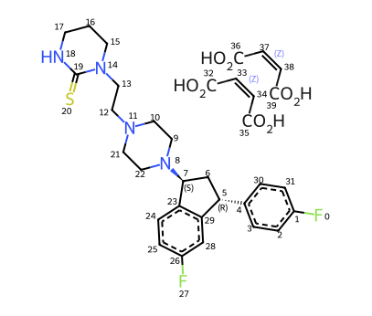 Fc1ccc([C@H]2C[C@H](N3CCN(CCN4CCCNC4=S)CC3)c3ccc(F)cc32)cc1.O=C(O)/C=C\C(=O)O.O=C(O)/C=C\C(=O)O